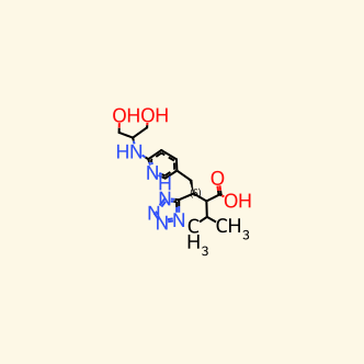 CC(C)C(C(=O)O)[C@H](Cc1ccc(NC(CO)CO)nc1)c1nnn[nH]1